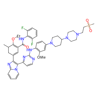 CCOC1=C(C(=O)Nc2c(F)cccc2F)C=C(c2nc3ccccn3c2-c2ccnc(Nc3ccc(N4CCC(N5CCN(CCS(C)(=O)=O)CC5)CC4)cc3OC)n2)CC1C